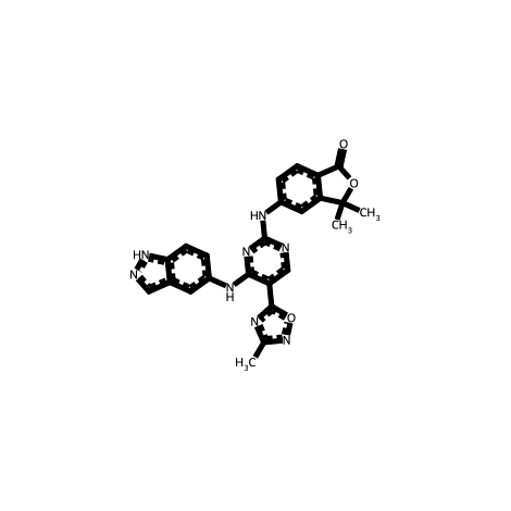 Cc1noc(-c2cnc(Nc3ccc4c(c3)C(C)(C)OC4=O)nc2Nc2ccc3[nH]ncc3c2)n1